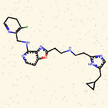 FC1=C(CNc2nccc3oc(CCNCCc4ncc(CC5CC5)[nH]4)nc23)N=CCC1